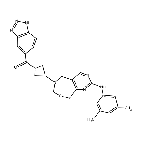 Cc1cc(C)cc(Nc2ncc3c(n2)CCCN(C2CN(C(=O)c4ccc5[nH]nnc5c4)C2)C3)c1